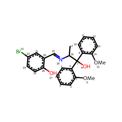 COc1ccccc1C(O)(c1ccccc1OC)C(C)N=Cc1cc(Br)ccc1O